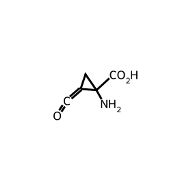 NC1(C(=O)O)CC1=C=O